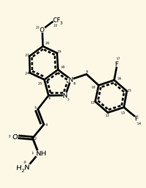 NNC(=O)/C=C/c1nn(Cc2ccc(F)cc2F)c2cc(OC(F)(F)F)ccc12